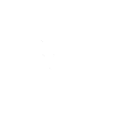 Cc1c(N)nc2n(C)c3ccccc3n12